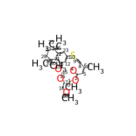 CCOC(=O)C=C(C)C#CSc1cc(OCOCCOC)c2c(c1)C(C)(C)CCC2(C)C